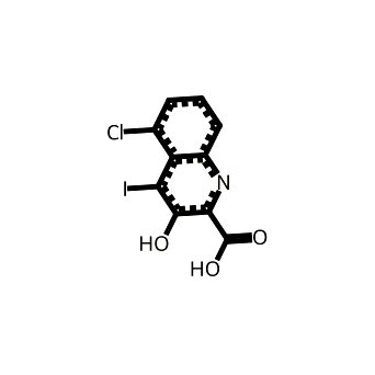 O=C(O)c1nc2cccc(Cl)c2c(I)c1O